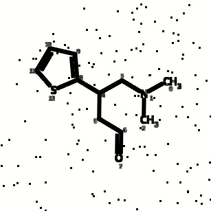 CN(C)CC(CC=O)c1cccs1